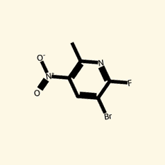 Cc1nc(F)c(Br)cc1[N+](=O)[O-]